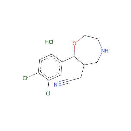 Cl.N#CCC1CNCCOC1c1ccc(Cl)c(Cl)c1